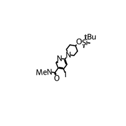 CNC(=O)c1cnc(N2CCC(O[Si](C)(C)C(C)(C)C)CC2)cc1I